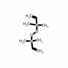 C=C[Si](C)(C)OO[Si](C)(C)C=C